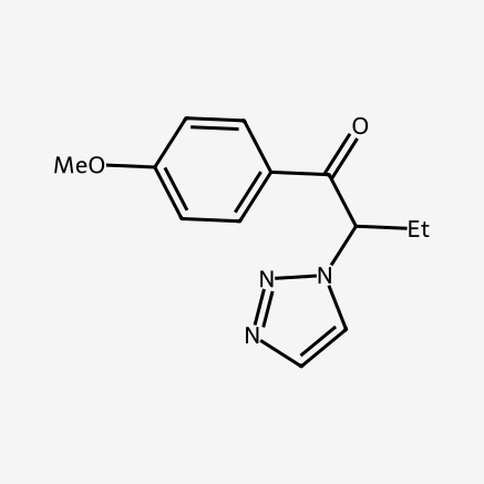 CCC(C(=O)c1ccc(OC)cc1)n1ccnn1